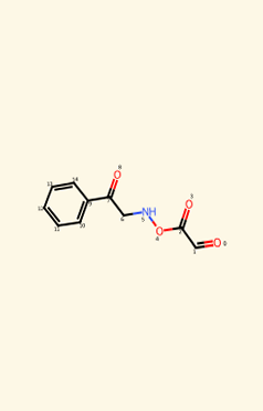 O=CC(=O)ONCC(=O)c1ccccc1